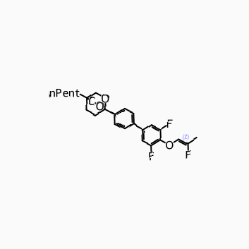 CCCCCC12CCC(c3ccc(-c4cc(F)c(O/C=C(/C)F)c(F)c4)cc3)(OC1)OC2